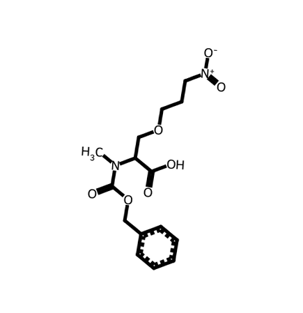 CN(C(=O)OCc1ccccc1)C(COCCC[N+](=O)[O-])C(=O)O